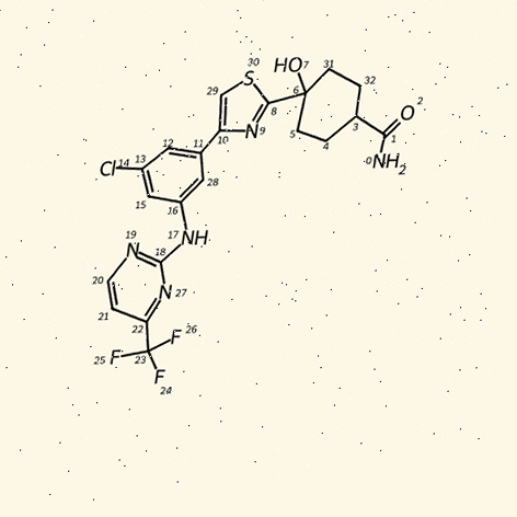 NC(=O)C1CCC(O)(c2nc(-c3cc(Cl)cc(Nc4nccc(C(F)(F)F)n4)c3)cs2)CC1